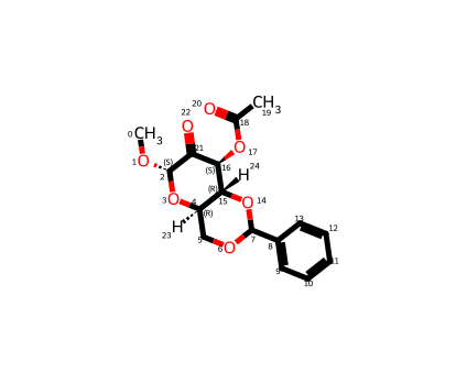 CO[C@H]1O[C@@H]2COC(c3ccccc3)O[C@H]2[C@H](OC(C)=O)C1=O